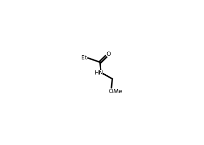 [CH2]CC(=O)NCOC